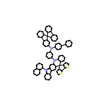 c1ccc(-c2ccc(N(c3cccc(N4c5ccccc5C5(c6cc7c8ccccc8n(-c8cccc9ccccc89)c7cc64)c4ccsc4-c4sccc45)c3)c3ccc4c(c3)C3(c5ccccc5-c5ccccc53)c3ccccc3-4)cc2)cc1